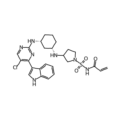 C=CC(=O)NS(=O)(=O)N1CCC(N[C@H]2CCC[C@@H](Nc3ncc(Cl)c(-c4c[nH]c5ccccc45)n3)C2)C1